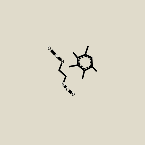 Cc1cc(C)c(C)c(C)c1C.O=C=NCCN=C=O